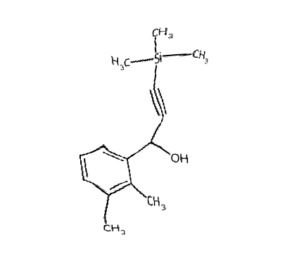 Cc1cccc(C(O)C#C[Si](C)(C)C)c1C